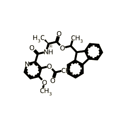 COc1ccnc(C(=O)N[C@@H](C)C(=O)OC(C)C2c3ccccc3-c3ccccc32)c1OC(C)=O